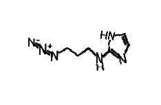 [N-]=[N+]=NCCCNc1ncc[nH]1